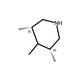 CC1[C@H](C)CNC[C@@H]1C